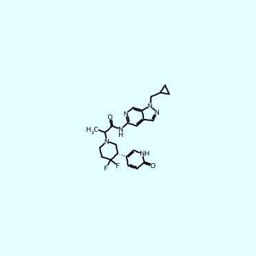 CC(C(=O)Nc1cc2cnn(CC3CC3)c2cn1)N1CCC(F)(F)[C@@H](c2ccc(=O)[nH]c2)C1